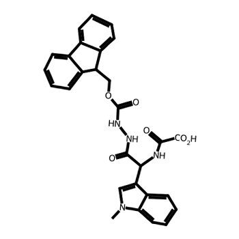 Cn1cc(C(NC(=O)C(=O)O)C(=O)NNC(=O)OCC2c3ccccc3-c3ccccc32)c2ccccc21